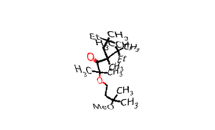 CCC(C)(C)CC(C)(C(=O)C(C)(C)OCCC(C)(C)OC)C(C)(C)CC